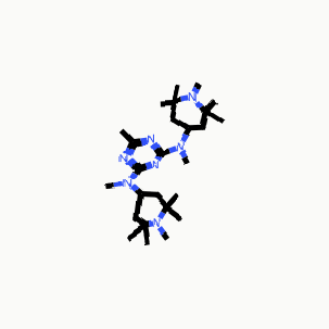 Cc1nc(N(C)C2CC(C)(C)N(C)C(C)(C)C2)nc(N(C)C2CC(C)(C)N(C)C(C)(C)C2)n1